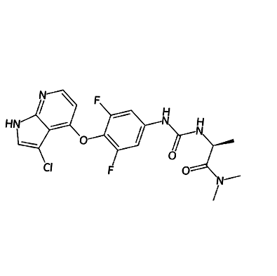 C[C@H](NC(=O)Nc1cc(F)c(Oc2ccnc3[nH]cc(Cl)c23)c(F)c1)C(=O)N(C)C